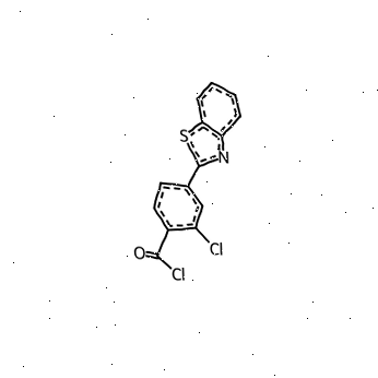 O=C(Cl)c1ccc(-c2nc3ccccc3s2)cc1Cl